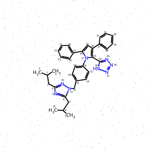 CC(C)Cc1nc(CC(C)C)n(Cc2ccc(-n3c(-c4ccccc4)cc(-c4ccccc4)c3-c3nnn[nH]3)cc2)n1